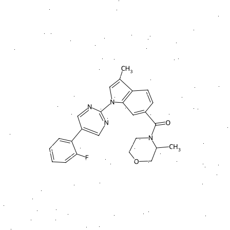 Cc1cn(-c2ncc(-c3ccccc3F)cn2)c2cc(C(=O)N3CCOCC3C)ccc12